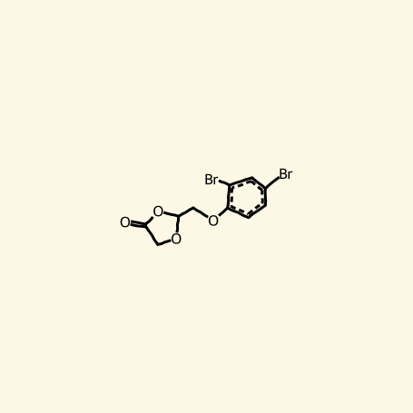 O=C1COC(COc2ccc(Br)cc2Br)O1